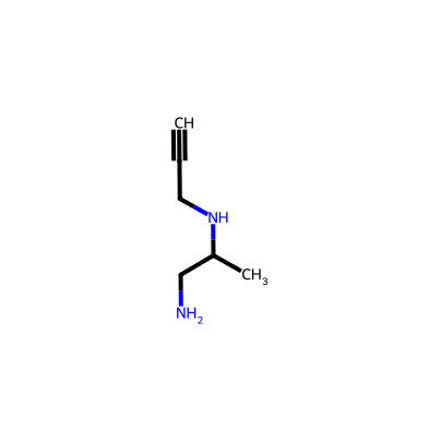 C#CCNC(C)CN